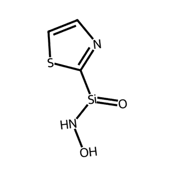 O=[Si](NO)c1nccs1